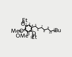 CCOc1cc(CCCCCCC(C)CC)c(OCC)c(OC)c1OC